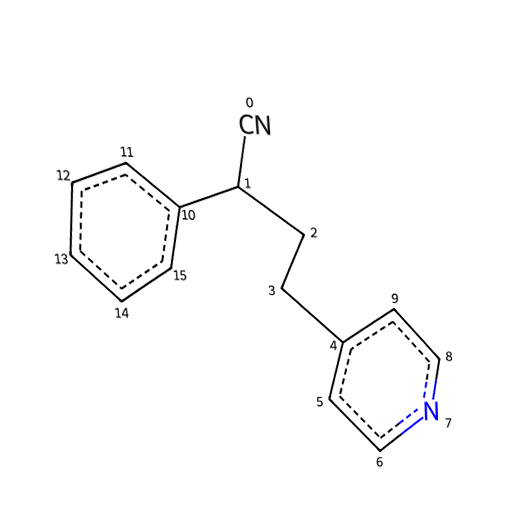 N#CC(CCc1ccncc1)c1ccccc1